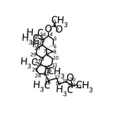 CC(=O)OC1CC[C@]23C[C@]24CCC2(C)C([C@H](C)CCC5OC5(C)C)CC[C@@]2(C)C4CC[C@H]3C1(C)C